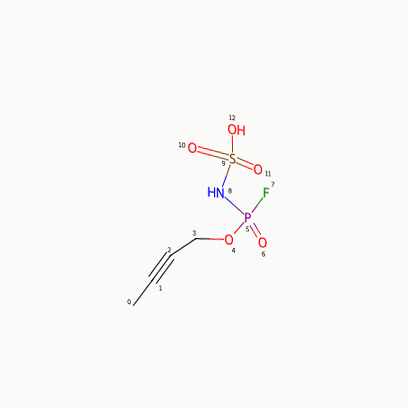 CC#CCOP(=O)(F)NS(=O)(=O)O